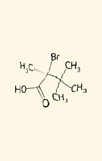 CC(C)(C)[C@](C)(Br)C(=O)O